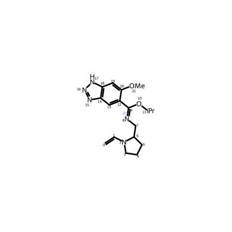 C=CN1CCCC1C/N=C(\OC(C)C)c1cc2nn[nH]c2cc1OC